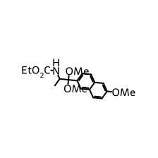 CCOC(=O)NC(C)C(OC)(OC)c1ccc2cc(OC)ccc2c1